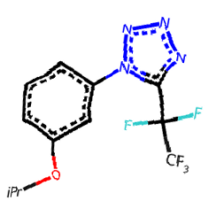 CC(C)Oc1cccc(-n2nnnc2C(F)(F)C(F)(F)F)c1